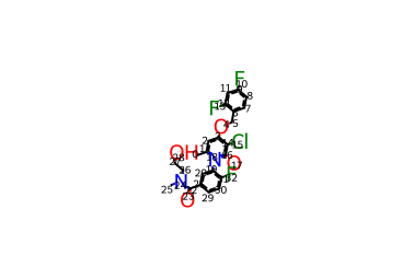 Cc1cc(OCc2ccc(F)cc2F)c(Cl)c(=O)n1-c1cc(C(=O)N(C)CCO)ccc1F